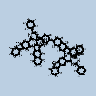 c1ccc(-c2nc(-c3ccccc3)nc(-c3cc4c(cc3-n3c5ccccc5c5cc6ccc(-c7ccc(-c8nc(-c9ccccc9)nc(-c9cc%10oc%11ccccc%11c%10cc9-n9c%10ccccc%10c%10cc%11ccccc%11cc%109)n8)cc7)cc6cc53)oc3ccccc34)n2)cc1